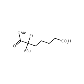 CCCCC(CC)(CCCCC(=O)O)C(=O)OC